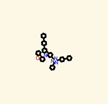 c1ccc(-c2ccc(-c3ccc4c(c3)c3ccc(-c5nc(-c6ccccc6)nc(-c6ccc(-c7ccccc7)cc6)n5)cc3n4-c3cccc4oc5ccccc5c34)cc2)cc1